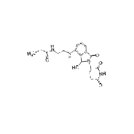 CCC(=O)NCCNc1cccc2c1C(O)N(C1CCC(=O)NC1=O)C2=O